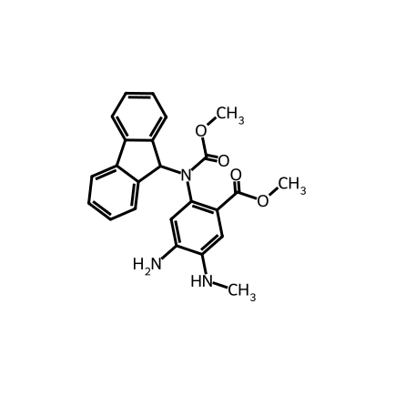 CNc1cc(C(=O)OC)c(N(C(=O)OC)C2c3ccccc3-c3ccccc32)cc1N